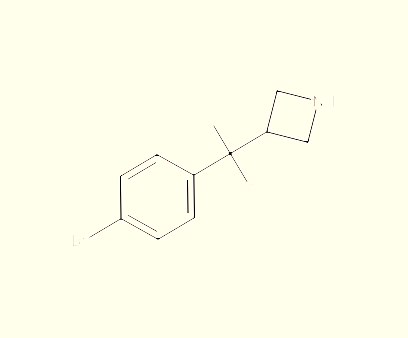 FC(F)(c1ccc(Br)cc1)C1CNC1